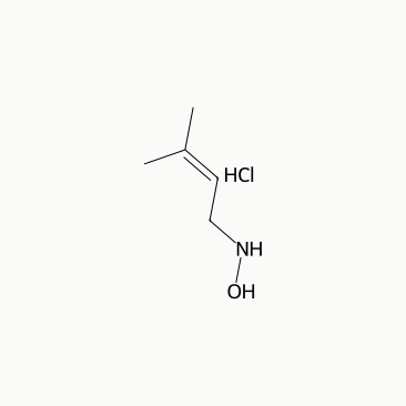 CC(C)=CCNO.Cl